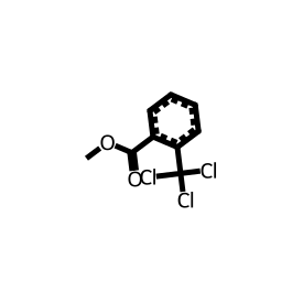 COC(=O)c1ccccc1C(Cl)(Cl)Cl